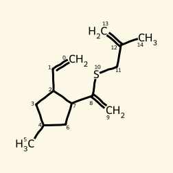 C=CC1CC(C)CC1C(=C)SCC(=C)C